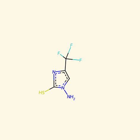 Nn1cc(C(F)(F)F)nc1S